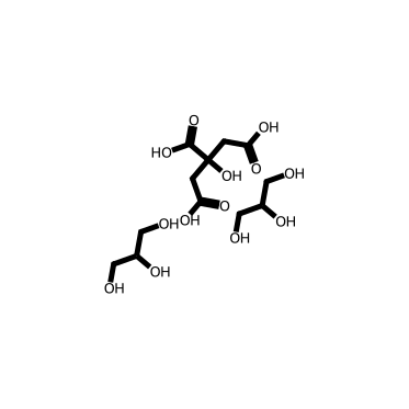 O=C(O)CC(O)(CC(=O)O)C(=O)O.OCC(O)CO.OCC(O)CO